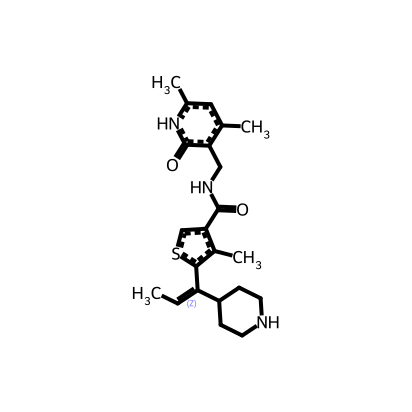 C/C=C(\c1scc(C(=O)NCc2c(C)cc(C)[nH]c2=O)c1C)C1CCNCC1